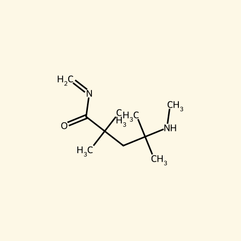 C=NC(=O)C(C)(C)CC(C)(C)NC